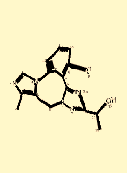 Cc1ncn2c1Cn1nc(C(C)O)nc1-c1c(Cl)cccc1-2